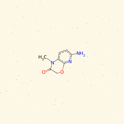 CN1C(=O)COc2nc(N)ccc21